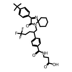 CC(C)(C)c1ccc(C2=NC3(CCCCC3)N(CC(CCC(F)(F)F)c3ccc(C(=O)NCCC(=O)O)cc3)C2=O)cc1